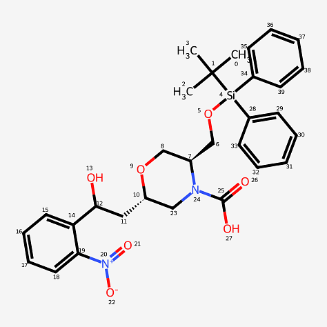 CC(C)(C)[Si](OC[C@@H]1CO[C@@H](CC(O)c2ccccc2[N+](=O)[O-])CN1C(=O)O)(c1ccccc1)c1ccccc1